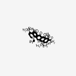 CC(C)CN1CCC(N(C)C)c2cc(O)c3c(c21)C[C@@H]1C[C@@H]2[C@H](N(C)C)C(O)=C(C(N)=O)C(=O)[C@@]2(O)C(O)=C1C3=O